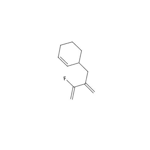 C=C(F)C(=C)CC1C=CCCC1